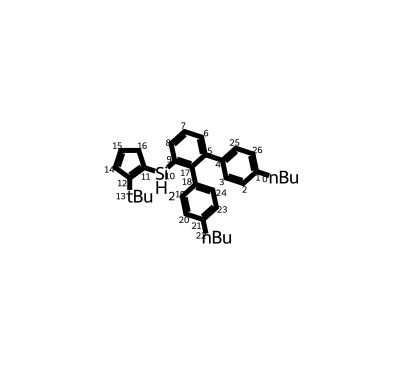 CCCCc1ccc(-c2cccc([SiH2]C3=C(C(C)(C)C)C=CC3)c2-c2ccc(CCCC)cc2)cc1